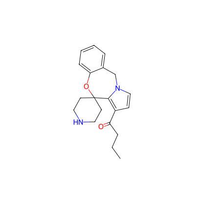 CCCC(=O)c1ccn2c1C1(CCNCC1)Oc1ccccc1C2